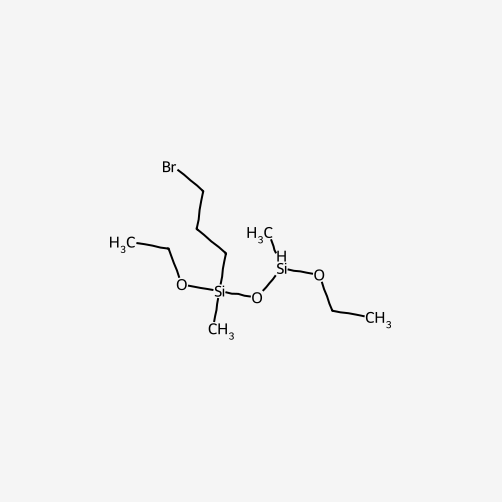 CCO[SiH](C)O[Si](C)(CCCBr)OCC